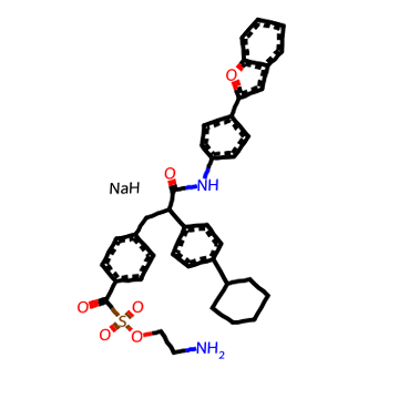 NCCOS(=O)(=O)C(=O)c1ccc(CC(C(=O)Nc2ccc(-c3cc4ccccc4o3)cc2)c2ccc(C3CCCCC3)cc2)cc1.[NaH]